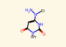 CCCn1c(=O)cc(N(N)CC)[nH]c1=O